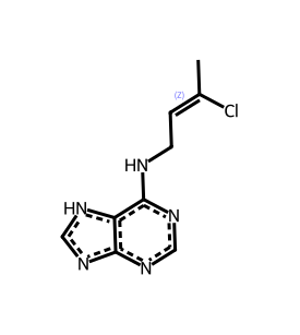 C/C(Cl)=C/CNc1ncnc2nc[nH]c12